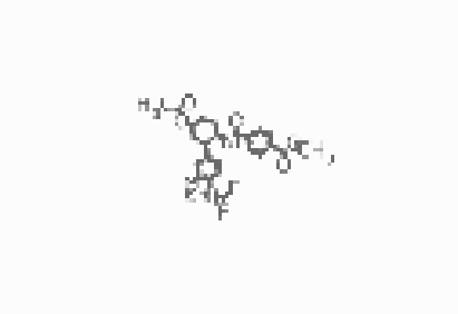 COC(=O)c1ccc(C(=O)NC2CCC(OC(C)=O)CC2c2ccc(OC(F)F)c(OC)c2)cc1